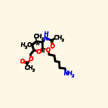 CC(=O)NC1[C@H](OCCCCCCN)OC(COC(C)=O)[C@H](C)[C@@H]1C